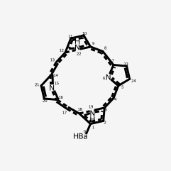 [BaH][c]1cc2cc3nc(cc4ccc(cc5nc(cc1[nH]2)C=C5)[nH]4)C=C3